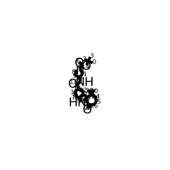 CC(C)(C)OC(=O)N1CCC(NC(=O)c2ccc3[nH]c4c(c3c2)C2(CCCC4=O)CC2)C1